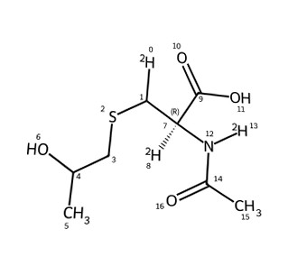 [2H]C(SCC(C)O)[C@@]([2H])(C(=O)O)N([2H])C(C)=O